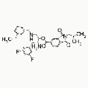 CCc1cccc(CNCC(OC(=O)c2ccc3c(c2)C(=O)N(CC(C)C)C3=O)C(N)Cc2cc(F)cc(F)c2)c1